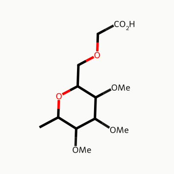 COC1C(C)OC(COCC(=O)O)C(OC)C1OC